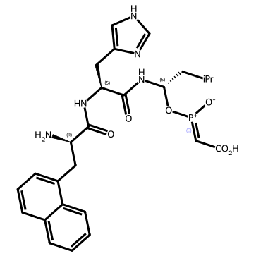 CC(C)C[C@@H](NC(=O)[C@H](Cc1c[nH]cn1)NC(=O)[C@H](N)Cc1cccc2ccccc12)O/[P+]([O-])=C/C(=O)O